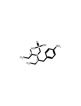 C[C@H](CN)N(CP(=O)(O)O)[C@H](CN)Cc1ccc([N+](=O)[O-])cc1